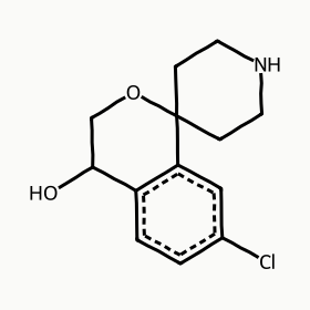 OC1COC2(CCNCC2)c2cc(Cl)ccc21